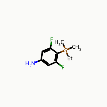 CCS(C)(C)c1c(F)cc(N)cc1F